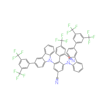 N#Cc1cc(-n2c3ccccc3c3cc(-c4cc(C(F)(F)F)cc(C(F)(F)F)c4)ccc32)c(-c2ccc(C(F)(F)F)cc2C#N)c(-n2c3ccccc3c3cc(-c4cc(C(F)(F)F)cc(C(F)(F)F)c4)ccc32)c1